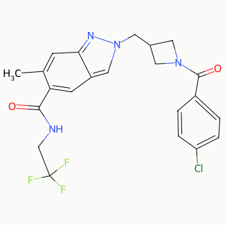 Cc1cc2nn(CC3CN(C(=O)c4ccc(Cl)cc4)C3)cc2cc1C(=O)NCC(F)(F)F